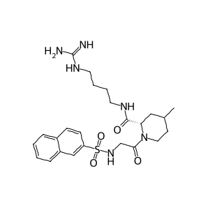 CC1CCN(C(=O)CNS(=O)(=O)c2ccc3ccccc3c2)[C@H](C(=O)NCCCCNC(=N)N)C1